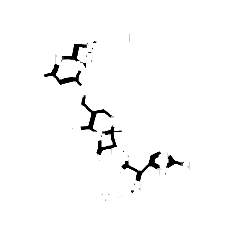 CO/N=C(\C(=O)N[C@@H]1C(=O)N2C(C(=O)O)=C(CSC3=CC(C(C)C)=NC4=CN(C(=O)O)NN43)CS[C@H]12)c1csc(N)n1